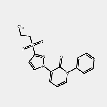 CCCS(=O)(=O)c1ccn(-c2cccn(-c3ccncc3)c2=O)n1